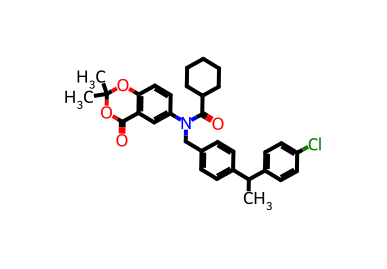 CC(c1ccc(Cl)cc1)c1ccc(CN(C(=O)C2CCCCC2)c2ccc3c(c2)C(=O)OC(C)(C)O3)cc1